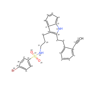 C#Cc1ccccc1CCc1[nH]c2ccccc2c1CCCNS(=O)(=O)c1ccc(Br)cc1